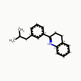 CC(C)Cc1cccc(C2=Nc3ccccc3CC2)c1